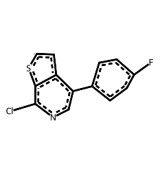 Fc1ccc(-c2cnc(Cl)c3s[c]cc23)cc1